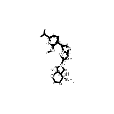 COc1nc(C(C)C)ccc1-c1cnc2sc(N3C[C@@H]4[C@H](C3)OCC[C@@H]4N)nn12